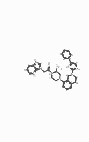 CC1CN(c2cccc3c2CN(c2nc(-c4ccccc4)cs2)CC3)CCN1C(=O)Cn1cnc2cccnc21